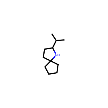 CC(C)C1CCC2(CCCC2)N1